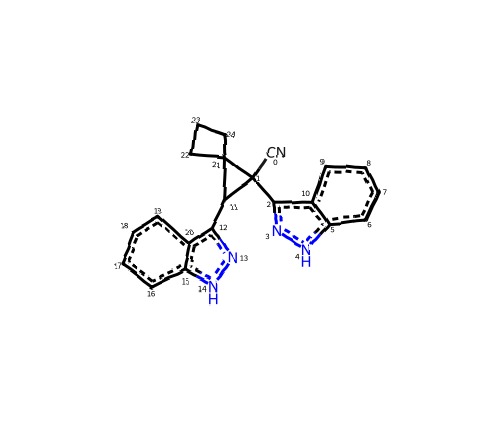 N#CC1(c2n[nH]c3ccccc23)C(c2n[nH]c3ccccc23)C12CCC2